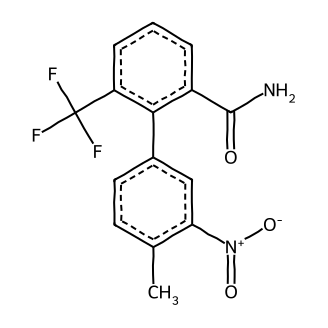 Cc1ccc(-c2c(C(N)=O)cccc2C(F)(F)F)cc1[N+](=O)[O-]